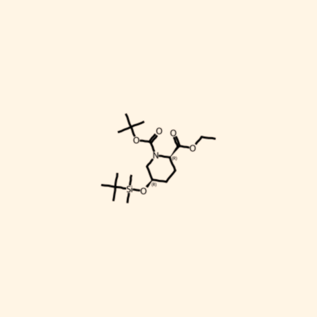 CCOC(=O)[C@H]1CC[C@@H](O[Si](C)(C)C(C)(C)C)CN1C(=O)OC(C)(C)C